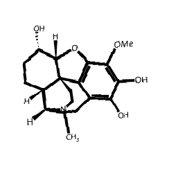 COc1c(O)c(O)c2c3c1O[C@H]1[C@@H](O)CC[C@H]4[C@@H](C2)N(C)CC[C@@]341